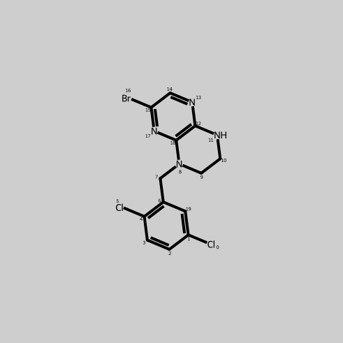 Clc1ccc(Cl)c(CN2CCNc3ncc(Br)nc32)c1